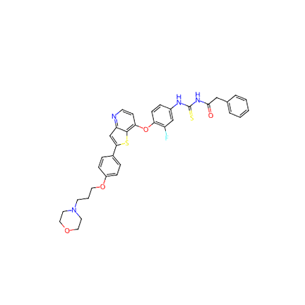 O=C(Cc1ccccc1)NC(=S)Nc1ccc(Oc2ccnc3cc(-c4ccc(OCCCN5CCOCC5)cc4)sc23)c(F)c1